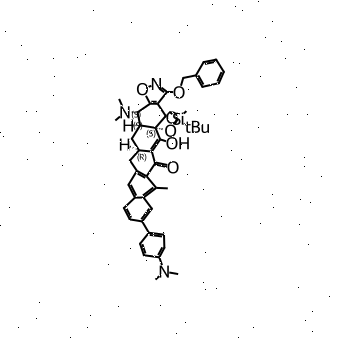 Cc1c2c(cc3ccc(-c4ccc(N(C)C)cc4)cc13)C[C@H]1C[C@H]3[C@H](N(C)C)c4onc(OCc5ccccc5)c4C(=O)[C@@]3(O[Si](C)(C)C(C)(C)C)C(O)=C1C2=O